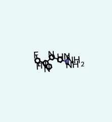 CN/C(N)=C(/C=N)c1ccc(-c2cncc(-c3cc(-c4cc(F)ccc4F)nc4ncccc34)c2)cc1